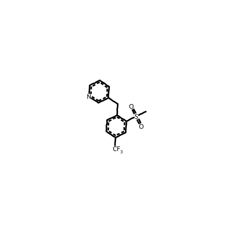 CS(=O)(=O)c1cc(C(F)(F)F)ccc1Cc1cccnc1